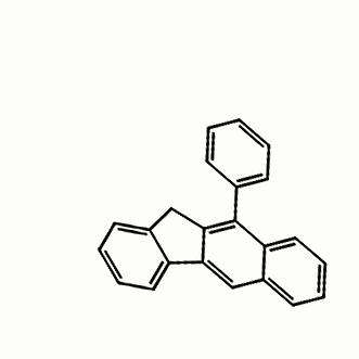 c1ccc(-c2c3c(cc4ccccc24)-c2ccccc2C3)cc1